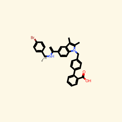 C=C(N[C@H](C)c1ccc(Br)cc1)c1ccc2c(c1)c(C)c(C)n2Cc1ccc(-c2ccccc2C(=O)O)cc1